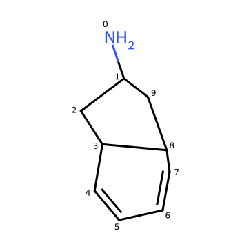 NC1CC2C=CC=CC2C1